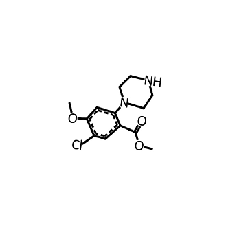 COC(=O)c1cc(Cl)c(OC)cc1N1CCNCC1